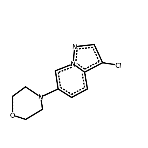 Clc1cnn2cc(N3CCOCC3)ccc12